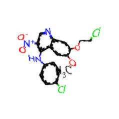 COc1cc2c(Nc3ccc(Cl)cc3)c([N+](=O)[O-])cnc2cc1OCCCl